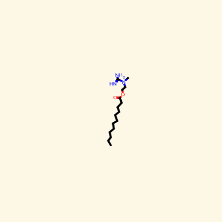 CCCCCCCCCCCC(=O)OCCN(C)C(=N)N